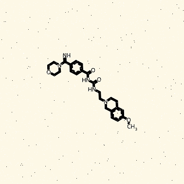 COc1ccc2c(c1)CCN(CCNC(=O)NC(=O)c1ccc(C(=N)N3CCOCC3)cc1)C2